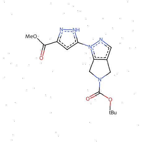 COC(=O)c1cc(-n2ncc3c2CN(C(=O)OC(C)(C)C)C3)[nH]n1